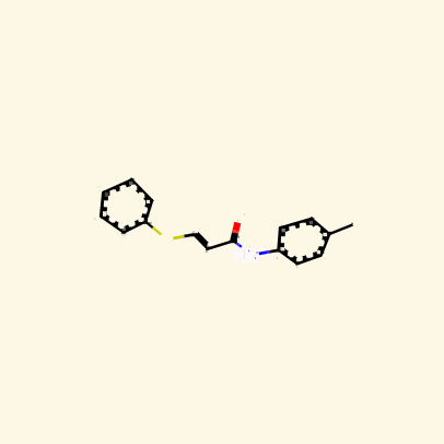 Cc1ccc(NC(=O)C=CSc2ccccc2)cc1